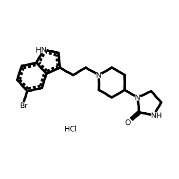 Cl.O=C1NCCN1C1CCN(CCc2c[nH]c3ccc(Br)cc23)CC1